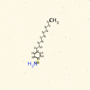 CCCCCCCCCCCCc1ccc(SN)cc1